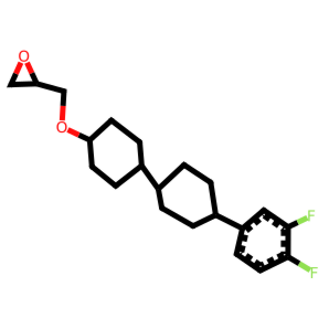 Fc1ccc(C2CCC(C3CCC(OCC4CO4)CC3)CC2)cc1F